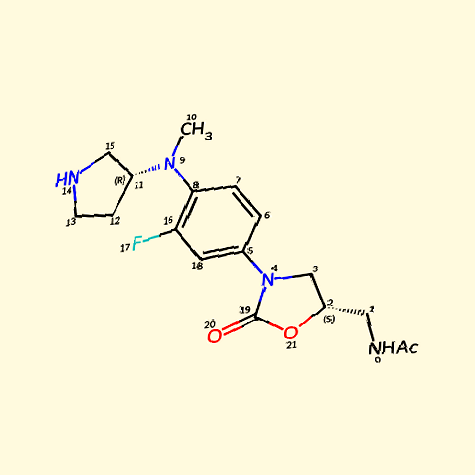 CC(=O)NC[C@H]1CN(c2ccc(N(C)[C@@H]3CCNC3)c(F)c2)C(=O)O1